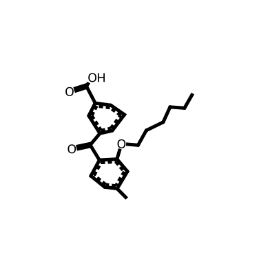 CCCCCCOc1cc(C)ccc1C(=O)c1cccc(C(=O)O)c1